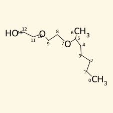 CCCCCC(C)OCCOCCO